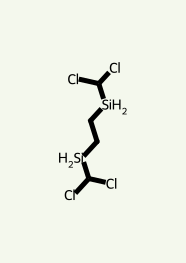 ClC(Cl)[SiH2]CC[SiH2]C(Cl)Cl